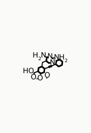 COc1c(C(=O)O)cc(Cc2cnc(N)nc2N)c(C#Cc2ccccc2)c1OC